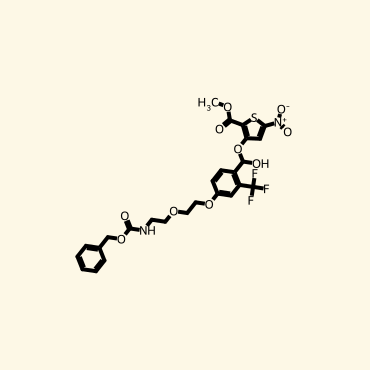 COC(=O)c1sc([N+](=O)[O-])cc1OC(O)c1ccc(OCCOCCNC(=O)OCc2ccccc2)cc1C(F)(F)F